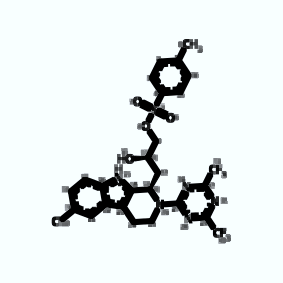 Cc1ccc(S(=O)(=O)OC[C@H](O)C[C@@H]2c3[nH]c4ccc(Cl)cc4c3CCN2c2nc(C(F)(F)F)nc(C(F)(F)F)n2)cc1